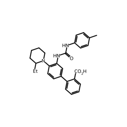 CCC1CCCCN1c1ccc(-c2ccccc2C(=O)O)cc1NC(=O)Nc1ccc(C)cc1